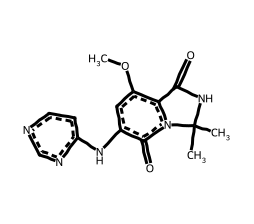 COc1cc(Nc2ccncn2)c(=O)n2c1C(=O)NC2(C)C